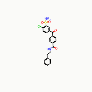 NS(=O)(=O)c1cc(C(=O)c2ccc(C(=O)NCCc3ccccc3)cc2)ccc1Cl